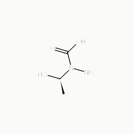 C[C@@H](O)N(N)C(=O)O